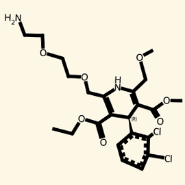 CCOC(=O)C1=C(COCCOCCN)NC(COC)=C(C(=O)OC)[C@H]1c1cccc(Cl)c1Cl